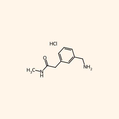 CNC(=O)Cc1cccc(CN)c1.Cl